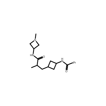 CC(C)C(=O)NC1CC(CC(C)C(=O)NC2CN(C)C2)C1